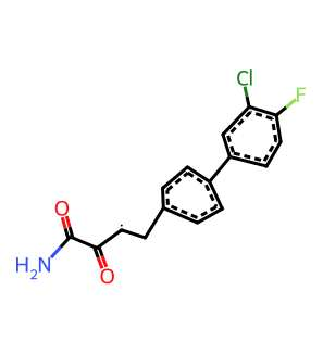 NC(=O)C(=O)[CH]Cc1ccc(-c2ccc(F)c(Cl)c2)cc1